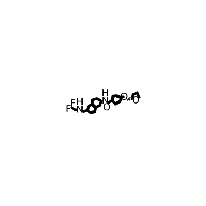 O=C(N[C@H]1CCc2cc(CNCC(F)F)ccc2C1)c1ccc(OC[C@@H]2CCCO2)cc1